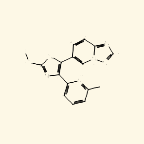 Cc1cccc(-c2nc(OI)[nH]c2-c2ccc3ncnn3c2)n1